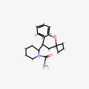 NC(=O)N1CCCCC1C1CC2(CCC2)Oc2ccccc21